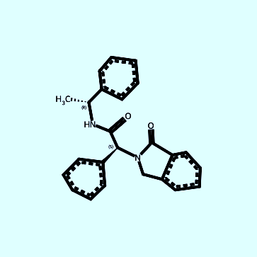 C[C@@H](NC(=O)[C@H](c1ccccc1)N1Cc2ccccc2C1=O)c1ccccc1